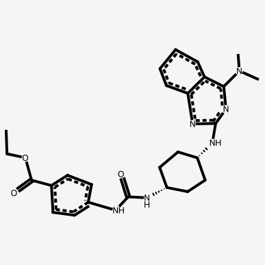 CCOC(=O)c1ccc(NC(=O)N[C@H]2CC[C@@H](Nc3nc(N(C)C)c4ccccc4n3)CC2)cc1